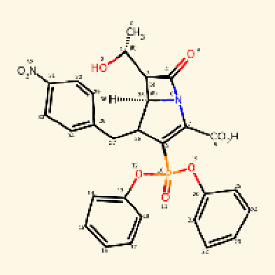 C[C@@H](O)[C@H]1C(=O)N2C(C(=O)O)=C(P(=O)(Oc3ccccc3)Oc3ccccc3)C(Cc3ccc([N+](=O)[O-])cc3)[C@@H]12